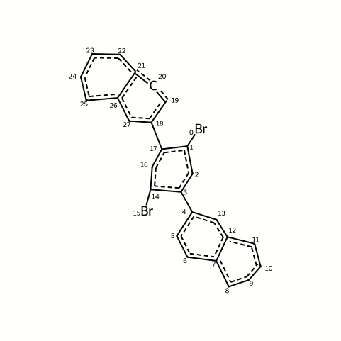 Brc1cc(-c2ccc3ccccc3c2)c(Br)cc1-c1ccc2ccccc2c1